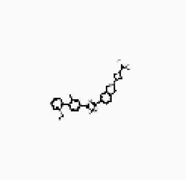 CSc1ccccc1-c1ccc(-c2nc(-c3ccc4c(c3)CN(C3CC(C(=O)O)C3)C4)no2)cc1C